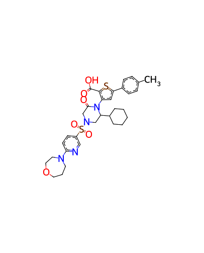 Cc1ccc(-c2cc(N3C(=O)CN(S(=O)(=O)c4ccc(N5CCCOCC5)nc4)CC3C3CCCCC3)c(C(=O)O)s2)cc1